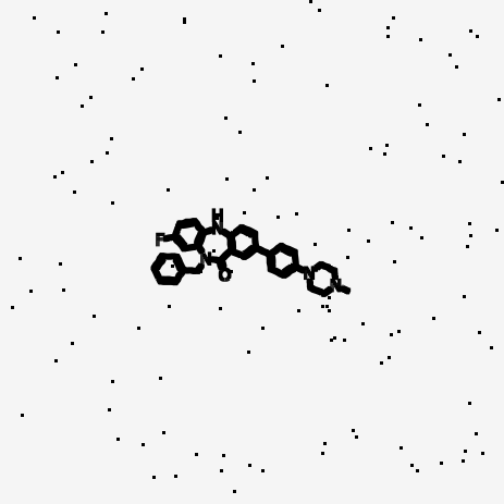 CN1CCN(c2ccc(-c3ccc4c(c3)C(=O)N(Cc3ccccc3)c3cc(F)ccc3N4)cc2)CC1